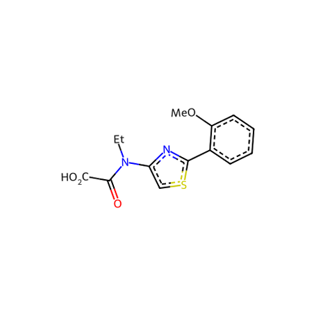 CCN(C(=O)C(=O)O)c1csc(-c2ccccc2OC)n1